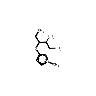 CCC(Oc1ccn(C)n1)[C@@H](C)CC